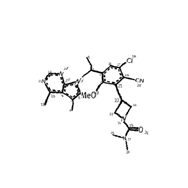 COc1c(C(C)n2cc(C)c3c(C)ncnc32)cc(Cl)c(C#N)c1C1CN(C(=O)N(C)C)C1